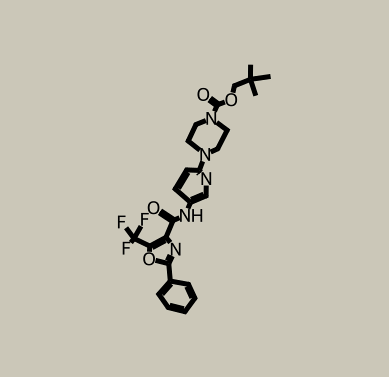 CC(C)(C)COC(=O)N1CCN(c2ccc(NC(=O)c3nc(-c4ccccc4)oc3C(F)(F)F)cn2)CC1